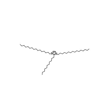 CCCCCCCCCCCCCCCCn1cc[n+](CCCCCCCCCCCCCCCC)c1CCCCCCCCCCC